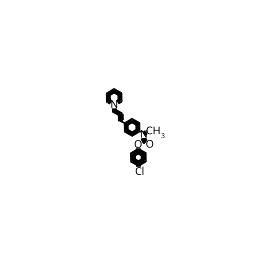 CN(C(=O)Oc1ccc(Cl)cc1)[C@H]1CC[C@H](C=CCN2CCCCC2)CC1